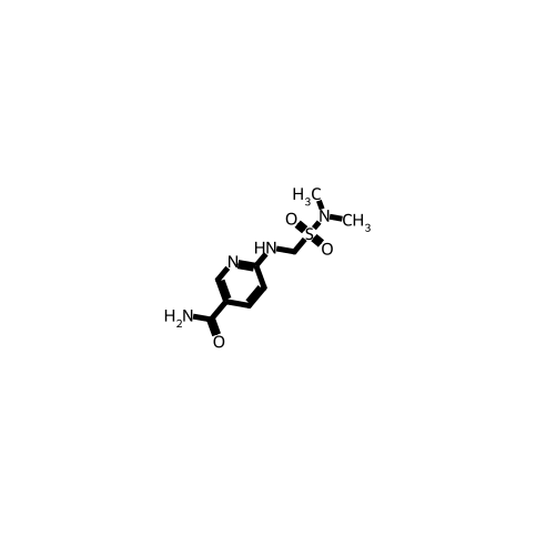 CN(C)S(=O)(=O)CNc1ccc(C(N)=O)cn1